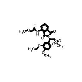 CCOc1cc(C(CS(C)(=O)=O)N2C(=O)c3cccc(NC(=O)COC)c3C2=O)ccc1OC